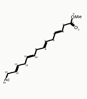 COC(=O)C/C=C/C/C=C/C/C=C/C/C=C/CC(C)=O